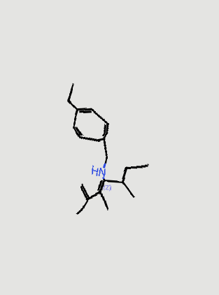 C=C(C)/C(C)=C(\NCc1ccc(CC)cc1)C(C)CC